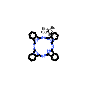 C[C](C)(C)[Co]([c]1cccc2c3nc4nc(nc5[nH]c(nc6nc(nc([nH]3)c12)-c1ccccc1-6)c1ccccc51)-c1ccccc1-4)([C](C)(C)C)([C](C)(C)C)[C](C)(C)C